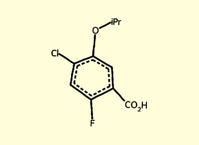 CC(C)Oc1cc(C(=O)O)c(F)cc1Cl